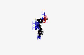 Cc1cc(NS(C)(=O)=O)ccc1Nc1cc(Cc2ccc(C#N)cc2)[nH]n1